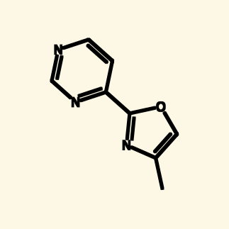 Cc1coc(-c2ccncn2)n1